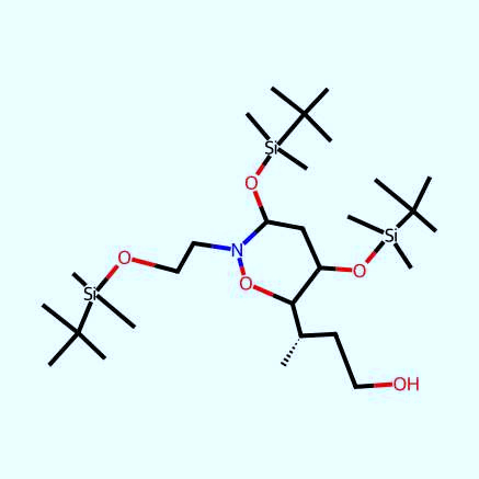 C[C@@H](CCO)C1ON(CCO[Si](C)(C)C(C)(C)C)C(O[Si](C)(C)C(C)(C)C)CC1O[Si](C)(C)C(C)(C)C